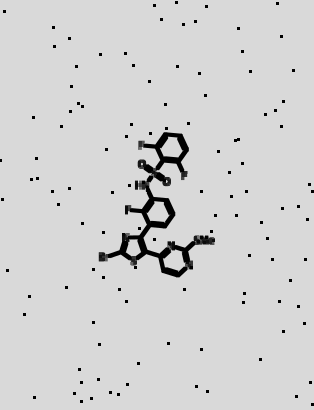 CSc1nccc(-c2sc(Br)nc2-c2cccc(NS(=O)(=O)c3c(F)cccc3F)c2F)n1